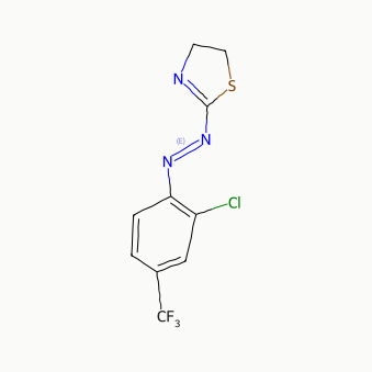 FC(F)(F)c1ccc(/N=N/C2=NCCS2)c(Cl)c1